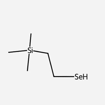 C[Si](C)(C)CC[SeH]